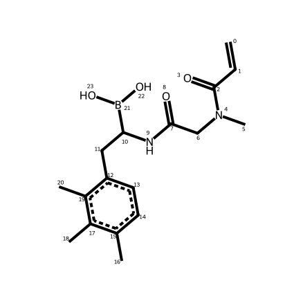 C=CC(=O)N(C)CC(=O)NC(Cc1ccc(C)c(C)c1C)B(O)O